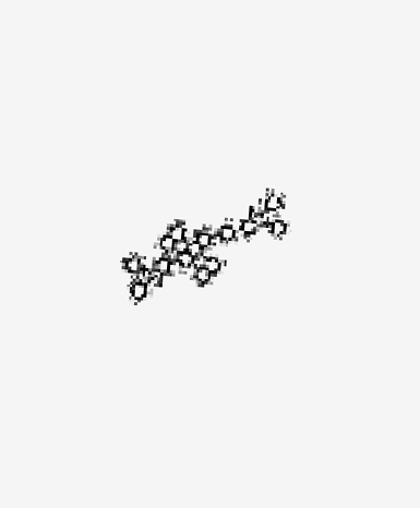 c1ccc(-c2nc3cc(-c4ccc(-c5ccc6c(-c7cccc8ccccc78)c7cc(-c8ccc9c(c8)nc(-c8ccccc8)n9-c8ccccc8)ccc7c(-c7cccc8ccccc78)c6c5)cc4)ccc3n2-c2ccccc2)cc1